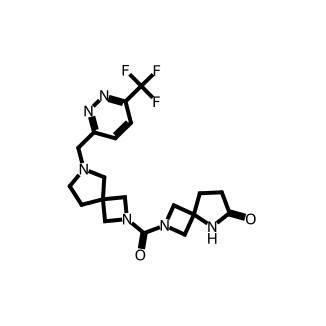 O=C1CCC2(CN(C(=O)N3CC4(CCN(Cc5ccc(C(F)(F)F)nn5)C4)C3)C2)N1